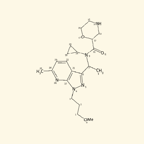 COCCCn1nc(C(C)N(C(=O)C2CNCCO2)C2CC2)c2ccc(C)nc21